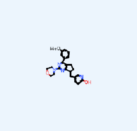 COc1cccc(-c2nc(N3CCOCC3)nc3c2CCC3Cc2ccc(O)nc2)c1